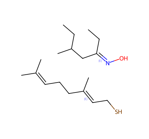 CC(C)=CCC/C(C)=C/CS.CC/C(CC(C)CC)=N\O